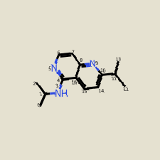 CC(C)Nc1nccc2nc(C(C)C)ccc12